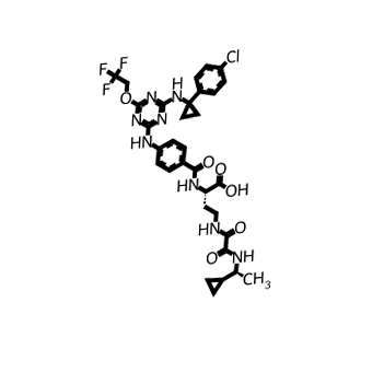 C[C@H](NC(=O)C(=O)NCC[C@H](NC(=O)c1ccc(Nc2nc(NC3(c4ccc(Cl)cc4)CC3)nc(OCC(F)(F)F)n2)cc1)C(=O)O)C1CC1